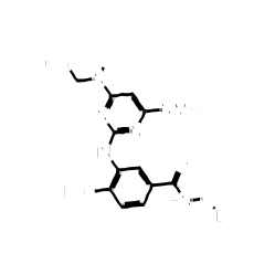 CCONC(=O)c1ccc(C)c(Nc2nc(NC)cc(N(C)CC(C)(C)C)n2)c1